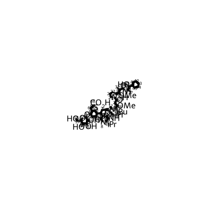 C#CCC(OC(=O)N(C)[C@H](C(=O)N[C@H](C(=O)N(C)[C@@H]([C@@H](C)CC)[C@@H](CC(=O)N1CCC[C@H]1[C@H](OC)[C@@H](C)C(=O)N[C@H](C)[C@@H](O)c1ccccc1)OC)C(C)C)C(C)C)c1ccc(O[C@@H]2O[C@H](CO)[C@H](O)[C@H](O)[C@H]2O)c2cc(C(=O)O)sc12